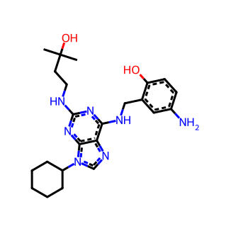 CC(C)(O)CCNc1nc(NCc2cc(N)ccc2O)c2ncn(C3CCCCC3)c2n1